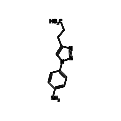 Nc1ccc(-n2cc(CCC(=O)O)nn2)cc1